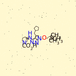 C[Si](C)(C)CCOCn1cc(CC2CCCC2)c2c(N[C@@H]3CCCN(C(=O)O)C3)ncnc21